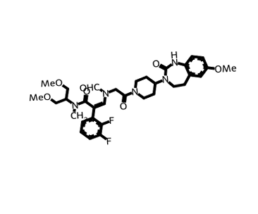 COCC(COC)N(C)C(=O)/C(=C\N(C=O)CC(=O)N1CCC(N2CCc3cc(OC)ccc3NC2=O)CC1)c1cccc(F)c1F